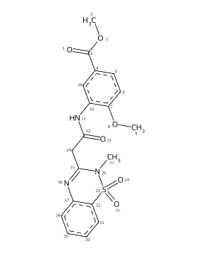 COC(=O)c1ccc(OC)c(NC(=O)CC2=Nc3ccccc3S(=O)(=O)N2C)c1